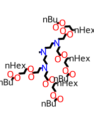 CCCCCCC(CCOC(=O)CCCC)OC(=O)CCN(CCCN(C)CCCN(CCC(=O)OC(CCCCCC)CCOC(=O)CCCC)CCC(=O)OC(CCCCCC)CCOC(=O)CCCC)CCC(=O)OC(CCCCCC)CCOC(=O)CCCC